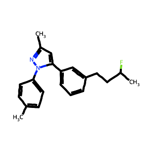 Cc1ccc(-n2nc(C)cc2-c2cccc(CCC(C)F)c2)cc1